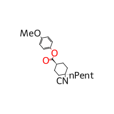 CCCCC[C@]1(C#N)CC[C@@H](C(=O)Oc2ccc(OC)cc2)CC1